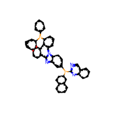 c1ccc(P(c2ccccc2)c2cccc3c2c2ccccc2c2nc4cc(P(c5ccc6ccccc6c5)c5ncc6ccccc6n5)ccc4n32)cc1